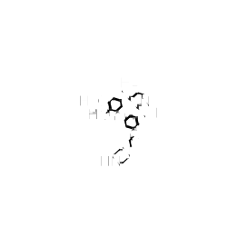 Cc1cc(Nc2nc(Nc3cccc(OCCN4CCNCC4)c3)ncc2F)cc(C)c1O